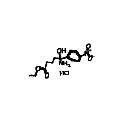 CCOC(=O)CCCC(N)(O)c1ccc([N+](=O)[O-])cc1.Cl